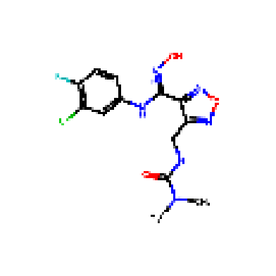 CN(C)C(=O)NCc1nonc1/C(=N\O)Nc1ccc(F)c(Cl)c1